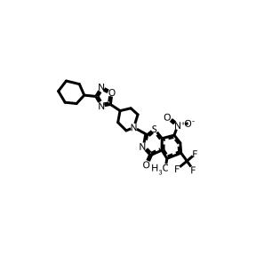 Cc1c(C(F)(F)F)cc([N+](=O)[O-])c2sc(N3CCC(c4nc(C5CCCCC5)no4)CC3)nc(=O)c12